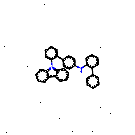 c1ccc(-c2ccccc2Nc2ccc(-c3ccccc3-n3c4ccccc4c4ccccc43)cc2)cc1